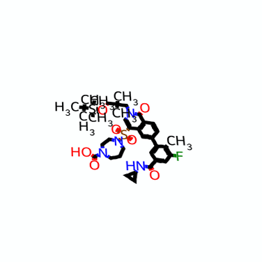 Cc1c(F)cc(C(=O)NC2CC2)cc1-c1ccc2c(=O)n(CC(C)(C)CO[Si](C)(C)C(C)(C)C)cc(S(=O)(=O)N3CCCN(C(=O)O)CC3)c2c1